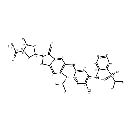 CC(C)Oc1cc2c(cc1Nc1ncc(Cl)c(Nc3ccccc3S(=O)(=O)C(C)C)n1)C(=O)N(C1C[C@@H](C(N)=O)N(C)C1)C2